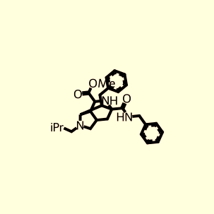 COC(=O)C1NC2(C(=O)NCc3ccccc3)CC3CN(CC(C)C)C(C31)C2Cc1ccccc1